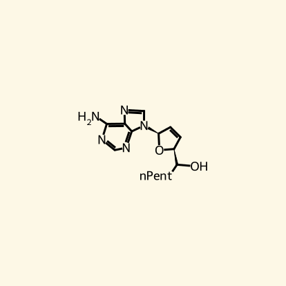 CCCCCC(O)[C@@H]1C=C[C@H](n2cnc3c(N)ncnc32)O1